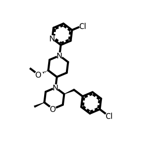 CO[C@@H]1CN(c2cc(Cl)ccn2)CCC1N1C[C@H](C)OC[C@@H]1Cc1ccc(Cl)cc1